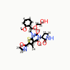 COc1ccccc1[C@H](Cn1c(=O)n(C2CCNC2=O)c(=O)c2c(C)c(-c3ncco3)sc21)OCCO